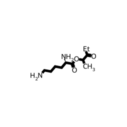 CCC(=O)C(C)OC(=O)[C@@H](N)CCCCN